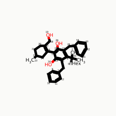 CCCCCCC(C)(C)c1c(Cc2ccccc2)c(O)c(C2=C(CO)CCC(C)C2)c(O)c1Cc1ccccc1